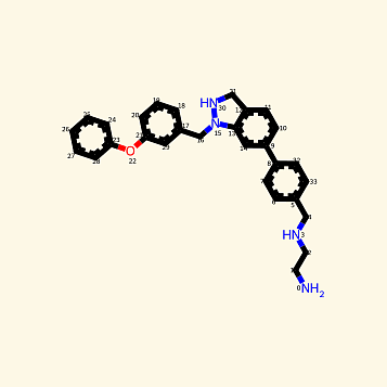 NCCNCc1ccc(-c2ccc3c(c2)N(Cc2cccc(Oc4ccccc4)c2)NC3)cc1